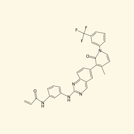 C=CC(=O)Nc1cccc(Nc2ncc3cc(-c4c(C)ccn(-c5cccc(C(F)(F)F)c5)c4=O)ccc3n2)c1